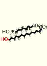 CCCCCCCC/C=C\CCCCCCCCCCCCO.CCCCCCCCCCCCCCCCCC(=O)O